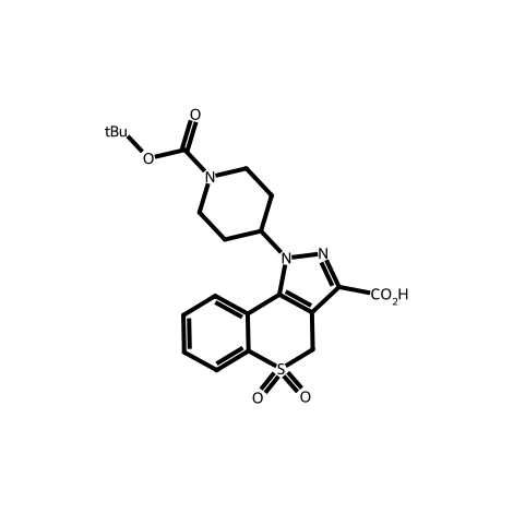 CC(C)(C)OC(=O)N1CCC(n2nc(C(=O)O)c3c2-c2ccccc2S(=O)(=O)C3)CC1